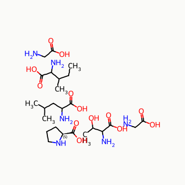 CC(C)CC(N)C(=O)O.CC(O)C(N)C(=O)O.CCC(C)C(N)C(=O)O.NCC(=O)O.NCC(=O)O.O=C(O)[C@@H]1CCCN1